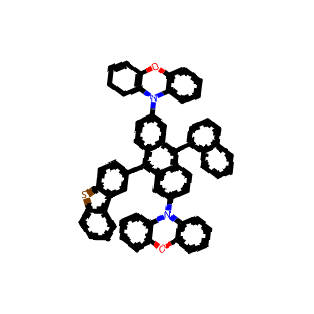 C1=CC2=C(CC1)N(c1ccc3c(-c4ccc5sc6ccccc6c5c4)c4cc(N5c6ccccc6Oc6ccccc65)ccc4c(-c4cccc5ccccc45)c3c1)c1ccccc1O2